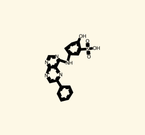 O=S(=O)(O)c1cc(Nc2ncnc3ncc(-c4ccccc4)nc23)ccc1O